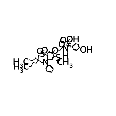 CCCCC1(CCCC)CN(c2ccccc2)c2cc(SC)c(OCC(=O)N[C@H](C(=O)O)c3ccc(O)cc3)cc2S(=O)(=O)C1